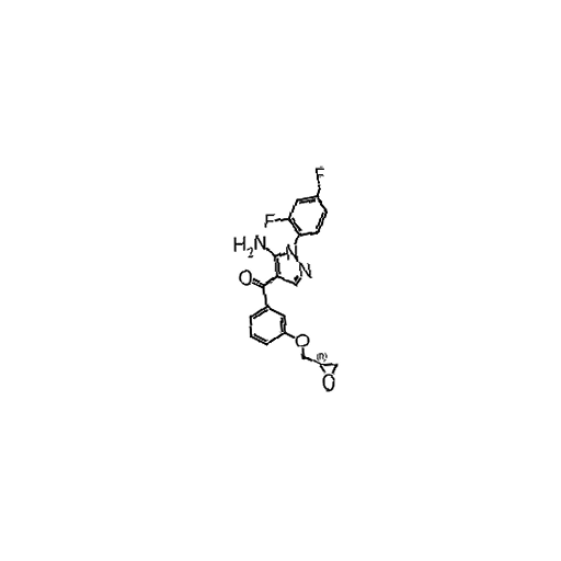 Nc1c(C(=O)c2cccc(OC[C@H]3CO3)c2)cnn1-c1ccc(F)cc1F